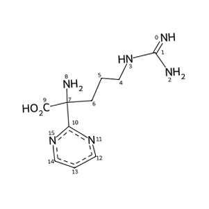 N=C(N)NCCCC(N)(C(=O)O)c1ncccn1